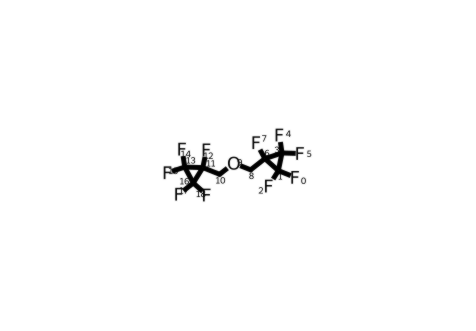 FC1(F)C(F)(F)C1(F)COCC1(F)C(F)(F)C1(F)F